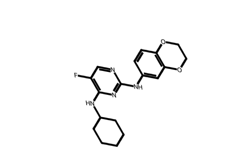 Fc1cnc(Nc2ccc3c(c2)OCCO3)nc1NC1CCCCC1